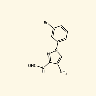 Nc1cn(-c2cccc(Br)c2)nc1NC=O